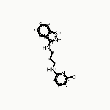 Clc1cccc(NCCCNc2nsc3ccccc23)n1